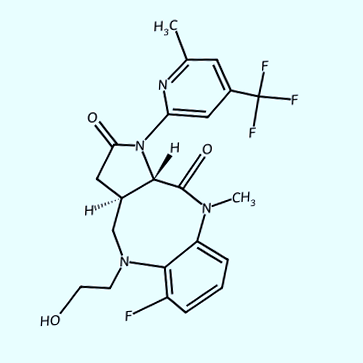 Cc1cc(C(F)(F)F)cc(N2C(=O)C[C@@H]3CN(CCO)c4c(F)cccc4N(C)C(=O)[C@H]32)n1